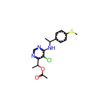 CSc1ccc(C(C)Nc2ncnc(C(C)OC(C)=O)c2Cl)cc1